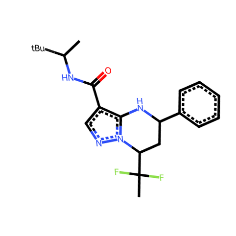 CC(NC(=O)c1cnn2c1NC(c1ccccc1)CC2C(C)(F)F)C(C)(C)C